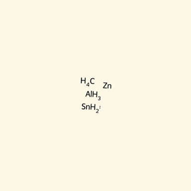 C.[AlH3].[SnH2].[Zn]